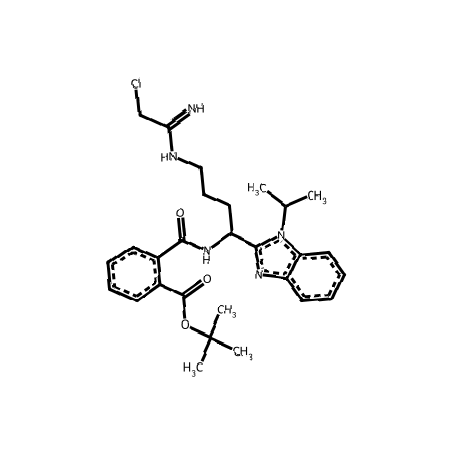 CC(C)n1c(C(CCCNC(=N)CCl)NC(=O)c2ccccc2C(=O)OC(C)(C)C)nc2ccccc21